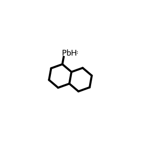 [PbH][CH]1CCCC2CCCCC12